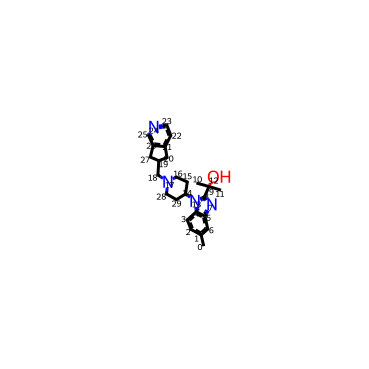 Cc1ccc2c(c1)nc(C(C)(C)O)n2C1CCN(CC2Cc3ccncc3C2)CC1